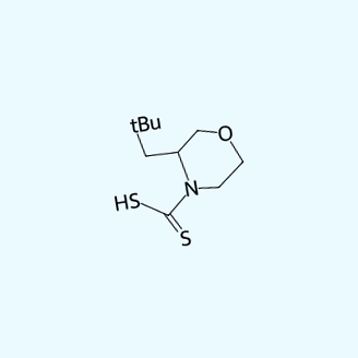 CC(C)(C)CC1COCCN1C(=S)S